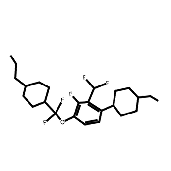 CCCC1CCC(C(F)(F)Oc2ccc(C3CCC(CC)CC3)c(C(F)F)c2F)CC1